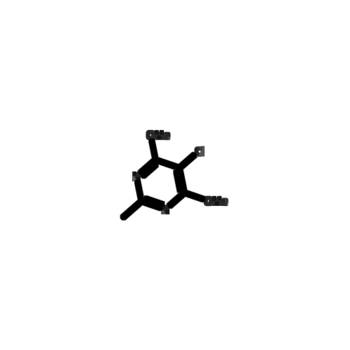 COc1nc(C)nc(OC)c1Cl